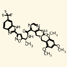 COc1cc(OC)c(CN2Cc3c(ncnc3C(=O)N[C@H](C)c3cc(-c4nc5ccc(C(F)(F)F)cc5[nH]4)no3)NC2=O)c(OC)c1